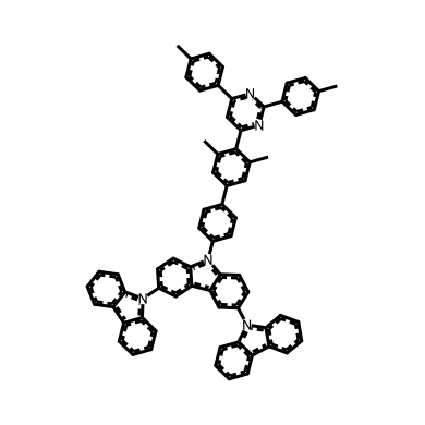 Cc1ccc(-c2cc(-c3c(C)cc(-c4ccc(-n5c6ccc(-n7c8ccccc8c8ccccc87)cc6c6cc(-n7c8ccccc8c8ccccc87)ccc65)cc4)cc3C)nc(-c3ccc(C)cc3)n2)cc1